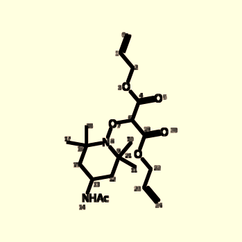 C=CCOC(=O)C(ON1C(C)(C)CC(NC(C)=O)CC1(C)C)C(=O)OCC=C